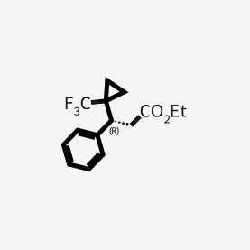 CCOC(=O)C[C@H](c1ccccc1)C1(C(F)(F)F)CC1